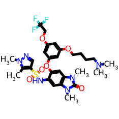 Cc1c(S(=O)(=O)Nc2cc3c(cc2Oc2cc(OCCCCN(C)C)cc(OCC(F)(F)F)c2)n(C)c(=O)n3C)cnn1C